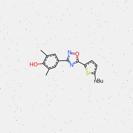 CCCCc1ccc(-c2nc(-c3cc(C)c(O)c(C)c3)no2)s1